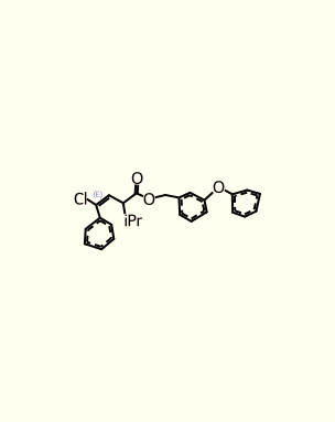 CC(C)C(/C=C(/Cl)c1ccccc1)C(=O)OCc1cccc(Oc2ccccc2)c1